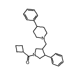 O=C(C1CCC1)N1CC(CN2CCC(c3ccccc3)CC2)C(c2ccccc2)C1